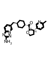 Cc1ccc([C@@H]2CCON2C(=O)[C@H]2CC[C@H](Cc3ccc4nc(N)nn4c3)CC2)cn1